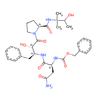 CC(O)C(C)(C)NC(=O)[C@@H]1CCCN1C(=O)[C@@H](O)[C@H](Cc1ccccc1)NC(=O)[C@H](CC(N)=O)NC(=O)OCc1ccccc1